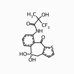 CC(O)(C(=O)Nc1cccc2c1C(=O)c1sccc1CS2(O)O)C(F)(F)F